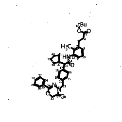 Cc1c(CCC(=O)OC(C)(C)C)cccc1NC(=O)C(c1ccc(CN2N=C(c3ccccc3)OCC2=O)cc1)C1CCCC1